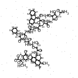 CC[C@@]1(O)C(=O)OCc2c1cc1n(c2=O)Cc2c-1nc1cc(F)c(C)c3c1c2[C@@H](NC(=O)[C@@H](CO)OCNC(=O)CNC(=O)[C@H](Cc1ccccc1)NC(=O)CNC(=O)CNC(=O)[C@H](CCC(=O)NC[C@H]1O[C@@H](CC(N)=O)[C@H](O)[C@@H]1O)OC(=O)N(C)C1c2ccccc2-c2ccccc21)CC3